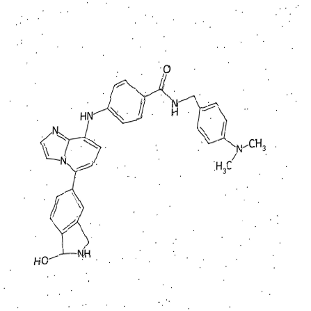 CN(C)c1ccc(CNC(=O)c2ccc(Nc3ccc(-c4ccc5c(c4)CNC5O)n4ccnc34)cc2)cc1